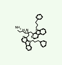 CCCCC(N)(Cc1nccc2c3ccccc3n(CCCc3ccccc3)c12)Cc1nccc2c3ccccc3n(CCCc3ccccc3)c12.N